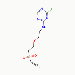 C=CS(=O)(=O)CCOCCNc1n[c]nc(F)n1